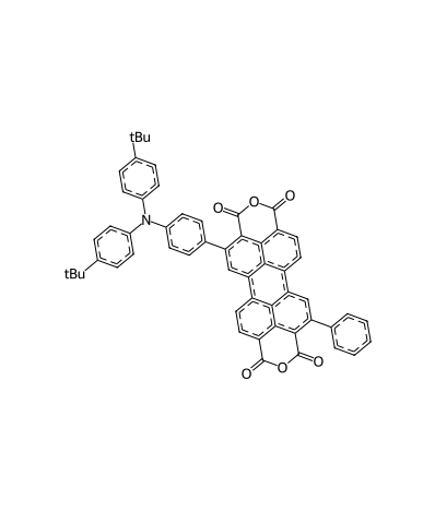 CC(C)(C)c1ccc(N(c2ccc(-c3cc4c5ccc6c7c(c(-c8ccccc8)cc(c8ccc9c(c3C(=O)OC9=O)c84)c75)C(=O)OC6=O)cc2)c2ccc(C(C)(C)C)cc2)cc1